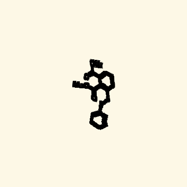 COC(=O)c1cccc(SSc2ccccc2)c1C(=O)OC